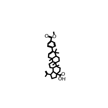 C=C(C)C1CCC2(C(=O)O)CCC3(C)C(CCC4C5(C)CC=C(c6ccc(C(=O)OC)cc6)C(C)(C)C5CCC43C)C12